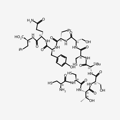 CC[C@H](C)[C@H](NC(=O)[C@H](CO)NC(=O)[C@@H](NC(=O)[C@H](CS)NC(=O)[C@@H](N)CS)[C@@H](C)O)C(=O)N[C@@H](CS)C(=O)N[C@@H](CO)C(=O)N[C@@H](CC(C)C)C(=O)N[C@@H](Cc1ccc(O)cc1)C(=O)N[C@@H](CCC(N)=O)C(=O)N[C@@H](CC(C)C)C(=O)O